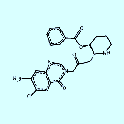 Bc1cc2ncn(CC(=O)C[C@H]3NCCC[C@@H]3OC(=O)c3ccccc3)c(=O)c2cc1Cl